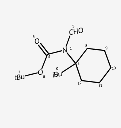 CCC(C)C1(N(C=O)C(=O)OC(C)(C)C)CCCCC1